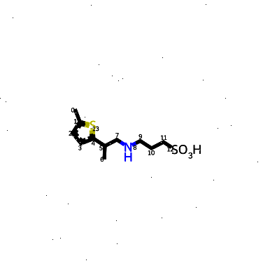 Cc1ccc(C(C)CNCCCS(=O)(=O)O)s1